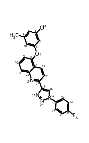 Cc1cc(Cl)cc(Oc2cccc3nc(-c4cn(-c5ccc(F)cc5)nn4)ccc23)c1